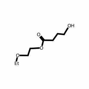 CCOCCOC(=O)CCCO